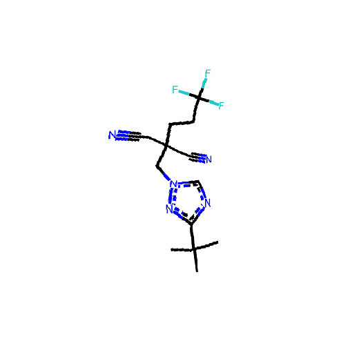 CC(C)(C)c1ncn(CC(C#N)(C#N)CCC(F)(F)F)n1